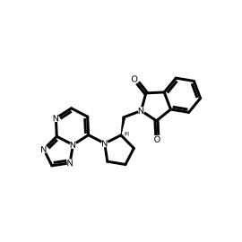 O=C1c2ccccc2C(=O)N1C[C@H]1CCCN1c1ccnc2ncnn12